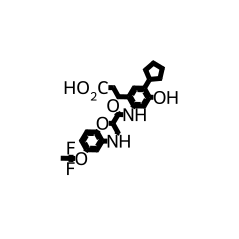 CC(F)(F)Oc1ccc2c(c1)NCC(C(=O)Nc1cc(O)c(C3CCCC3)cc1CCC(=O)O)O2